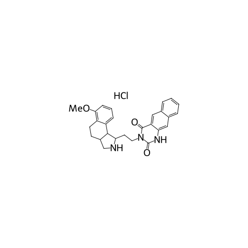 COc1cccc2c1CCC1CNC(CCn3c(=O)[nH]c4cc5ccccc5cc4c3=O)C21.Cl